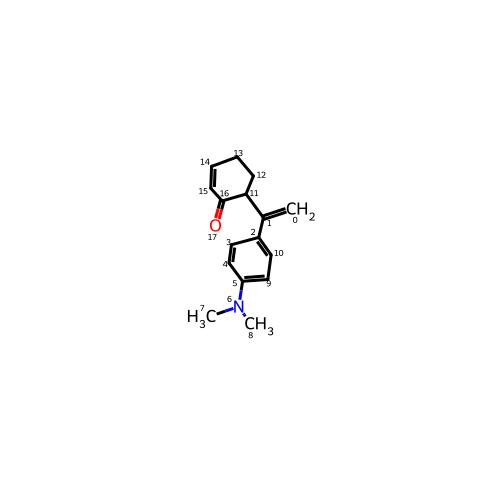 C=C(c1ccc(N(C)C)cc1)C1CCC=CC1=O